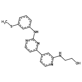 CSc1cccc(Nc2nccc(-c3ccnc(NCCO)c3)n2)c1